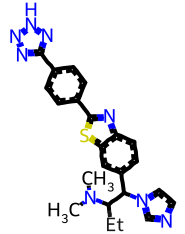 CCC(C(c1ccc2nc(-c3ccc(-c4nn[nH]n4)cc3)sc2c1)n1ccnc1)N(C)C